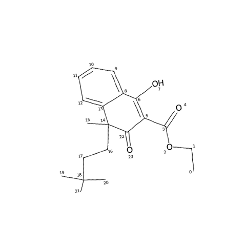 CCOC(=O)C1=C(O)c2ccccc2C(C)(CCC(C)(C)C)C1=O